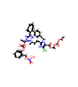 CCCCc1nc(Cl)c(C(=O)OC(C)OC(=O)OCC)n1Cc1ccc(-c2ccccc2-c2nnn(C(C)OC(=O)Oc3ccccc3CON(O)O)n2)cc1